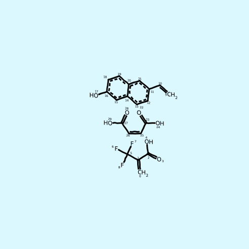 C=C(C(=O)O)C(F)(F)F.C=Cc1ccc2cc(O)ccc2c1.O=C(O)/C=C\C(=O)O